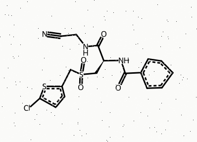 N#CCNC(=O)[C@H](CS(=O)(=O)Cc1ccc(Cl)s1)NC(=O)c1ccccc1